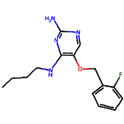 CCCCNc1nc(N)ncc1OCc1ccccc1F